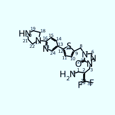 NCC(Cn1ncn(Cc2ccc(-c3ccc(N4CCNCC4)nc3)s2)c1=O)=C(F)F